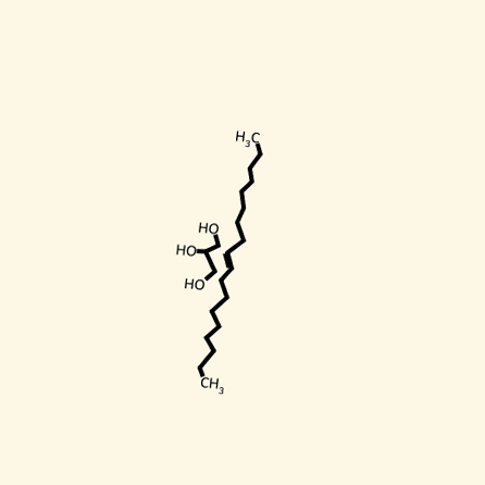 CCCCCCCCC=CCCCCCCCC.OCC(O)CO